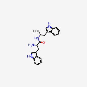 NC(Cc1c[nH]c2ccccc12)C(=O)NC(C=O)Cc1c[nH]c2ccccc12